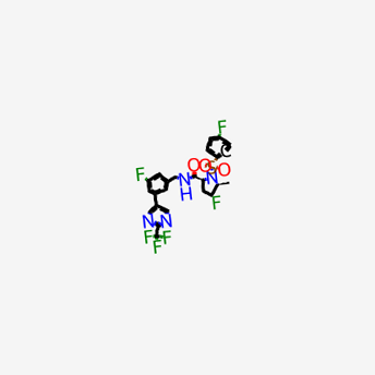 C[C@H]1[C@H](F)C[C@@H](C(=O)NCc2cc(F)cc(-c3cnc(C(F)(F)F)nc3)c2)N1S(=O)(=O)c1ccc(F)cc1